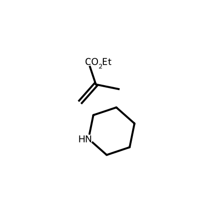 C1CCNCC1.C=C(C)C(=O)OCC